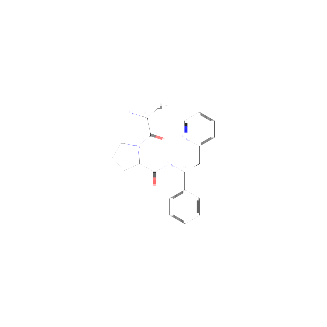 CC(C)[C@H](N)C(=O)N1CCCC1C(=O)N[C@@H](Cc1ccccn1)c1ccccc1